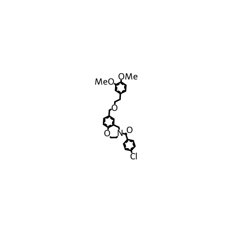 COc1ccc(CCOCc2ccc3c(c2)CN(C(=O)c2ccc(Cl)cc2)CCO3)cc1OC